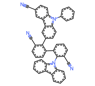 N#Cc1ccc2c(c1)c1cc(-c3c(C#N)cccc3-c3cccc(C#N)c3-n3c4ccccc4c4ccccc43)ccc1n2-c1ccccc1